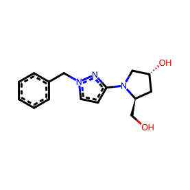 OC[C@@H]1C[C@@H](O)CN1c1ccn(Cc2ccccc2)n1